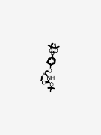 CC[C@H](COc1ccc(B2OC(C)(C)C(C)(C)O2)cc1)NC(=O)OC(C)(C)C